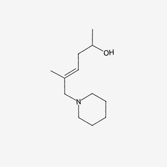 CC(=CCC(C)O)CN1CCCCC1